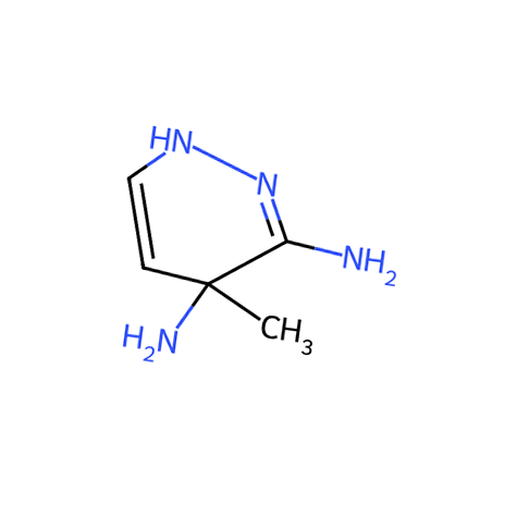 CC1(N)C=CNN=C1N